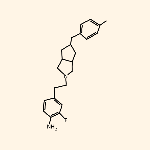 Cc1ccc(CC2CC3CN(CCc4ccc(N)c(F)c4)CC3C2)cc1